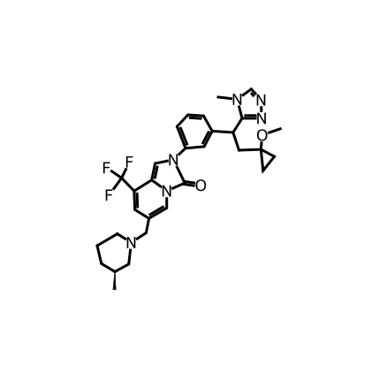 COC1(CC(c2cccc(-n3cc4c(C(F)(F)F)cc(CN5CCC[C@H](C)C5)cn4c3=O)c2)c2nncn2C)CC1